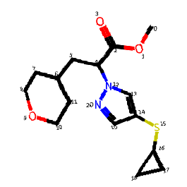 COC(=O)C(CC1CCOCC1)n1cc(SC2CC2)cn1